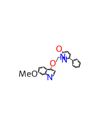 COc1ccc2c(OCCn3nc(-c4ccccc4)ccc3=O)ccnc2c1